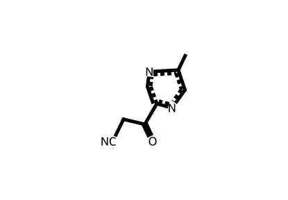 Cc1cnc(C(=O)CC#N)cn1